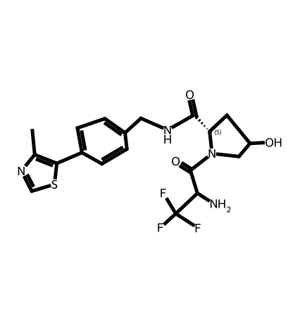 Cc1ncsc1-c1ccc(CNC(=O)[C@@H]2CC(O)CN2C(=O)C(N)C(F)(F)F)cc1